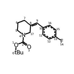 CC(C)(C)OC(=O)N1CCC/C(=C/c2ccc(F)cc2)C1